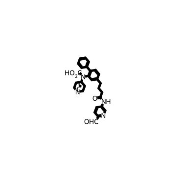 O=Cc1ccc(NC(=O)CCCc2ccc(-c3ccccc3)c(N(C(=O)O)C34CCN(CC3)CC4)c2)cn1